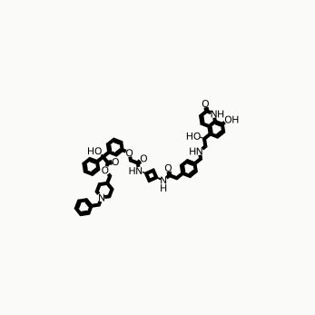 O=C(COc1cccc([C@](O)(C(=O)OCC2CCN(Cc3ccccc3)CC2)c2ccccc2)c1)N[C@H]1C[C@H](NC(=O)Cc2ccc(CNC[C@H](O)c3ccc(O)c4[nH]c(=O)ccc34)cc2)C1